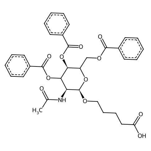 CC(=O)N[C@H]1C(OC(=O)c2ccccc2)[C@@H](OC(=O)c2ccccc2)C(COC(=O)c2ccccc2)O[C@H]1OCCCCC(=O)O